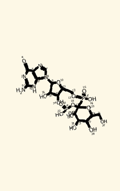 Nc1nc(=O)c2ncn(C3OC(COP(=O)(O)C4(OP(=O)(O)O)OC(CO)C(O)C(O)C4O)C(O)C3O)c2[nH]1